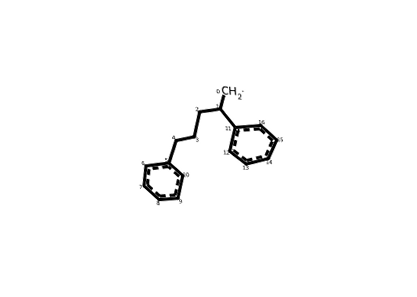 [CH2]C(CCCc1ccccc1)c1ccccc1